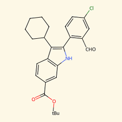 CC(C)(C)OC(=O)c1ccc2c(C3CCCCC3)c(-c3ccc(Cl)cc3C=O)[nH]c2c1